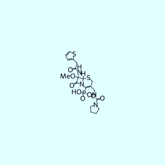 COC1(NC(=O)Cc2cccs2)C(=O)N2C(P(=O)(O)O)=C(COC(=O)N3CCCC3)CS[C@H]21